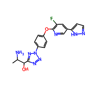 CC(N)C(O)c1nnn(-c2ccc(Oc3ncc(-c4ccn[nH]4)cc3F)cc2)n1